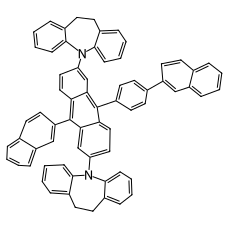 c1ccc2c(c1)CCc1ccccc1N2c1ccc2c(-c3ccc4ccccc4c3)c3cc(N4c5ccccc5CCc5ccccc54)ccc3c(-c3ccc(-c4ccc5ccccc5c4)cc3)c2c1